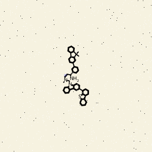 CN(/C=C\C(N)c1cccc(-c2ccc3c(c2)C(C)(C)c2ccccc2-3)c1)Cn1c2ccccc2c2cc(-c3cccc4c3sc3ccccc34)ccc21